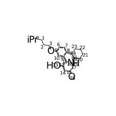 CC(C)CCCOc1ccc2c(c1)=C1C(O)=CC(=O)CN1[C@H]1CCCCC=21